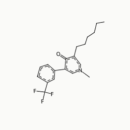 CCCCCCc1cn(C)cc(-c2cccc(C(F)(F)F)c2)c1=O